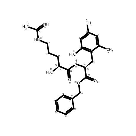 Cc1cc(O)cc(C)c1C[C@H](NC(=O)[C@@H](C)CCCNC(=N)N)C(=O)OCc1ccccc1